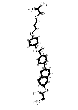 C=CC(O)Oc1ccc2cc(-c3ccc(C(=O)Sc4ccc(OCCCOC(=O)C(=C)C)cc4)cc3)ccc2c1